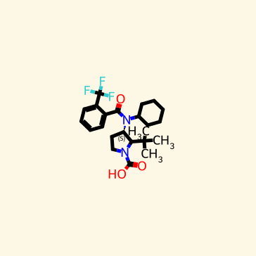 CC(C)(C)C1[C@@H](N(C(=O)c2ccccc2C(F)(F)F)C2CCCCC2)CCN1C(=O)O